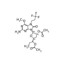 CCC(OC(C)=O)[C@@H]1C[C@@H](OC(C)=O)[C@H](n2c(=O)n(CCC(F)(F)F)c3c(OC)nc(N)nc32)O1